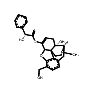 CN1CCC23c4c5ccc(CO)c4OC2C(OC(=O)[C@H](O)c2ccccc2)=CC[C@@]3(O)[C@H]1C5